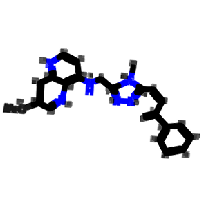 C=C(/C=C\c1nnc(CNc2ccnc3cc(OC)cnc23)n1C)c1ccccc1